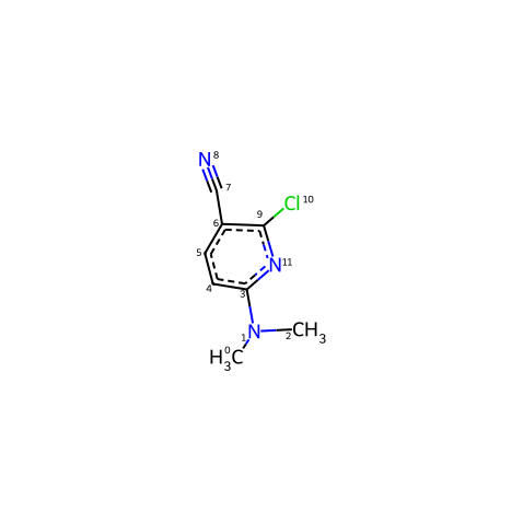 CN(C)c1ccc(C#N)c(Cl)n1